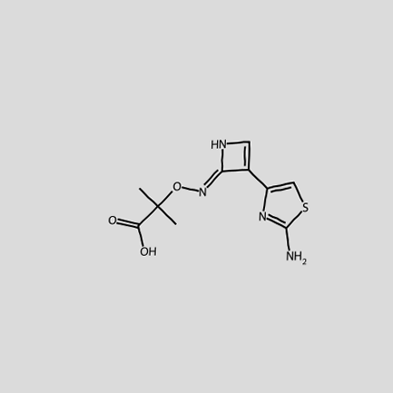 CC(C)(ON=C1NC=C1c1csc(N)n1)C(=O)O